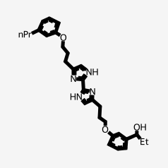 CCCc1cccc(OCCCc2c[nH]c(-c3nc(CCCOc4cccc(C(O)CC)c4)c[nH]3)n2)c1